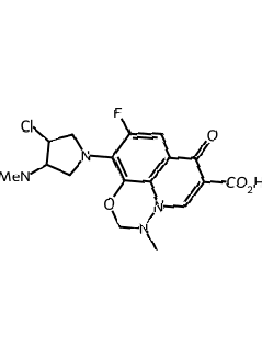 CNC1CN(c2c(F)cc3c(=O)c(C(=O)O)cn4c3c2OCN4C)CC1Cl